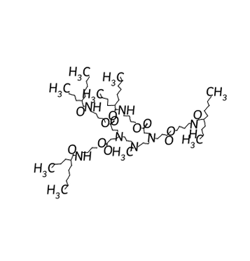 CCCCCCC(CCCC)C(=O)NCCCCOC(=O)CCN(CCCN(C)CCCN(CCC(=O)OCCCCNC(=O)C(CCCC)CCCCCC)CCC(=O)OCCCCNC(=O)C(CCCC)CCCCCC)CCC(=O)OCCCCNC(=O)C(CCCC)CCCCCC